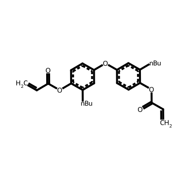 C=CC(=O)Oc1ccc(Oc2ccc(OC(=O)C=C)c(CCCC)c2)cc1CCCC